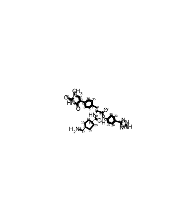 Cn1cc(-c2ccc(C[C@H](NC(=O)[C@H]3CC[C@H](CN)CC3)C(=O)Nc3ccc(-c4nn[nH]n4)cc3)cc2)c(=O)[nH]c1=O